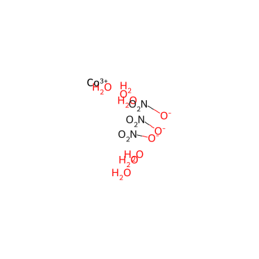 O.O.O.O.O.O.O=[N+]([O-])[O-].O=[N+]([O-])[O-].O=[N+]([O-])[O-].[Co+3]